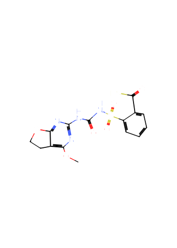 COc1nc(NC(=O)NS(=O)(=O)c2ccccc2C(=O)S)nc2c1CCO2